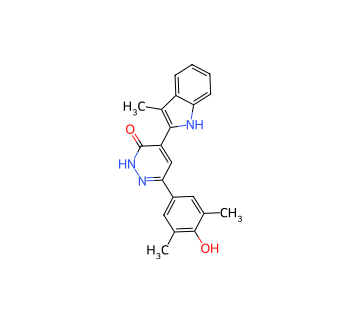 Cc1cc(-c2cc(-c3[nH]c4ccccc4c3C)c(=O)[nH]n2)cc(C)c1O